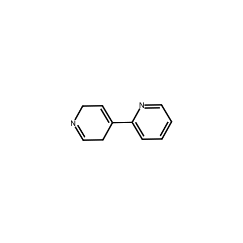 C1=NCC=C(c2ccccn2)C1